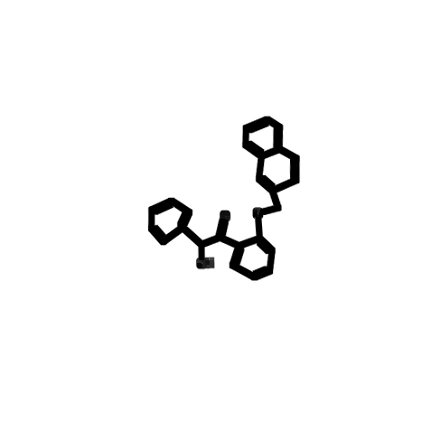 O=C(c1ccccc1OCc1ccc2ccccc2c1)C(O)c1ccccc1